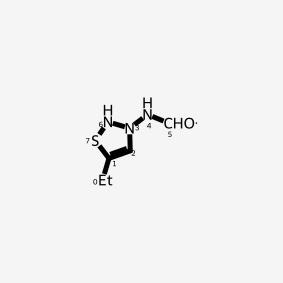 CCC1=CN(N[C]=O)NS1